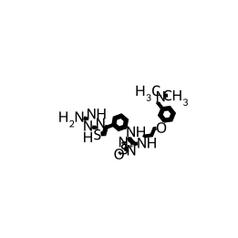 CN(C)Cc1cccc(OCCCNc2n[s+]([O-])nc2Nc2cccc(-c3csc(NC(=N)N)n3)c2)c1